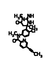 CC#Cc1ccc(C(=O)N(C)c2ccc(Cl)c(C3(C)CC(=O)N(C)C(=N)N3)c2)nc1